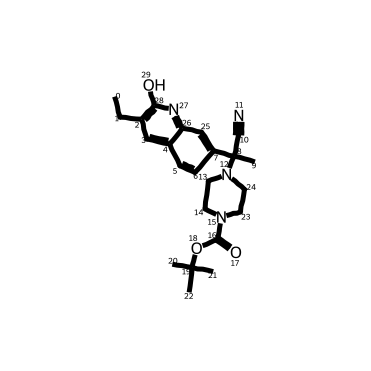 CCc1cc2ccc(C(C)(C#N)N3CCN(C(=O)OC(C)(C)C)CC3)cc2nc1O